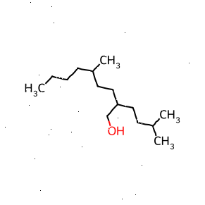 CCCCC(C)CCC(CO)CCC(C)C